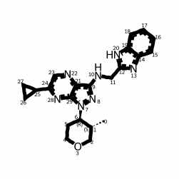 C[C@@H]1COCC[C@H]1n1nc(NCc2nc3ccccc3[nH]2)c2ncc(C3CC3)nc21